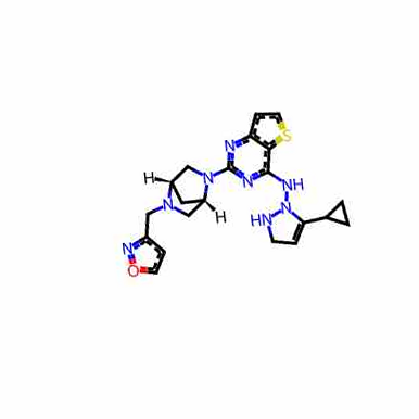 C1=C(C2CC2)N(Nc2nc(N3C[C@@H]4C[C@H]3CN4Cc3ccon3)nc3ccsc23)NC1